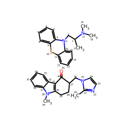 CC(CN1c2ccccc2Sc2ccccc21)N(C)C.Cc1nccn1CC1CCc2c(c3ccccc3n2C)C1=O